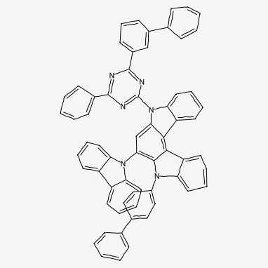 c1ccc(-c2ccc(-n3c4ccccc4c4c5c6ccccc6n(-c6nc(-c7ccccc7)nc(-c7cccc(-c8ccccc8)c7)n6)c5cc(-n5c6ccccc6c6ccccc65)c43)cc2)cc1